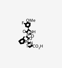 COc1ccc([C@H]2NC(=O)N([C@@H](Cc3ccccc3)C(=O)Nc3nc(C(=O)O)cs3)C2=O)cc1F